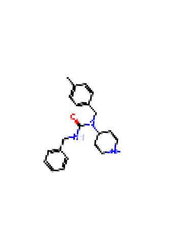 Cc1ccc(CN(C(=O)NCc2ccccc2)C2CCNCC2)cc1